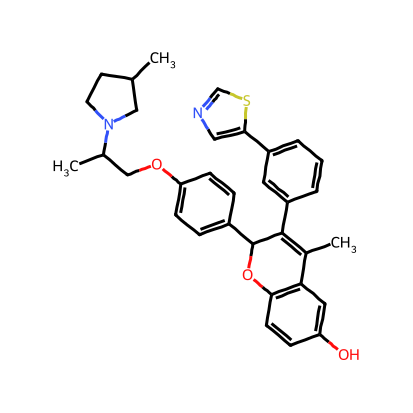 CC1=C(c2cccc(-c3cncs3)c2)C(c2ccc(OCC(C)N3CCC(C)C3)cc2)Oc2ccc(O)cc21